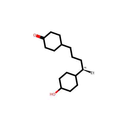 CC[C@H](CC[CH]C1CCC(=O)CC1)C1CCC(O)CC1